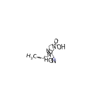 CC#CCCCn1nc2c(c1/C=N\O)CN(C(=O)O)CC2